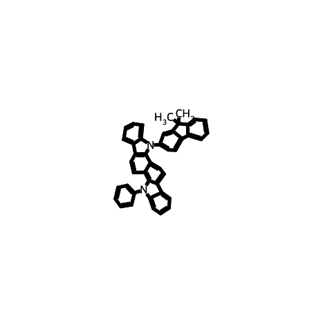 CC1(C)c2ccccc2-c2ccc(-n3c4ccccc4c4ccc5c(ccc6c7ccccc7n(-c7ccccc7)c65)c43)cc21